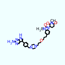 CN1C(=O)CCC(n2c(=O)n(C)c3cc(CCCOCCCN4CCN(Cc5ccc(-c6c[nH]c7nc(N)ncc67)cc5)CC4)ccc32)C1=O